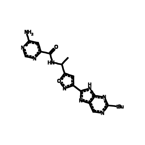 CC(NC(=O)c1cc(N)ncn1)c1cc(-c2nc3cnc(C(C)(C)C)nc3[nH]2)no1